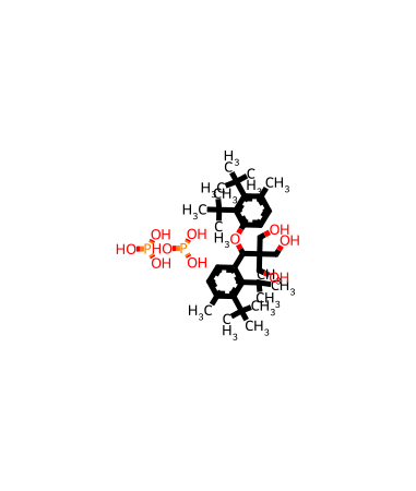 Cc1ccc(OC(c2ccc(C)c(C(C)(C)C)c2C(C)(C)C)C(CO)(CO)CO)c(C(C)(C)C)c1C(C)(C)C.OP(O)O.OP(O)O